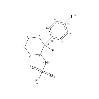 CC(C)S(=O)(=O)NC1CCCCC1(F)c1ccc(F)cc1